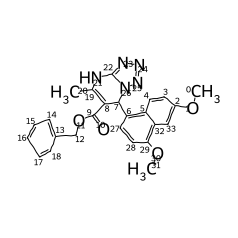 COc1ccc2c(C3C(C(=O)OCc4ccccc4)=C(C)Nc4nnnn43)ccc(OC)c2c1